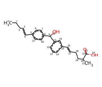 CCCC=Cc1ccc(C(O)c2cccc(C=CCCC(C)C(=O)O)c2)cc1